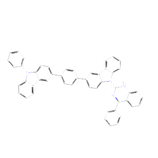 c1ccc(C2=NC(n3c4ccccc4c4cc(-c5ccc(-c6ccc7c(c6)c6ccccc6n7-c6ccccc6)cc5)ccc43)Nc3ccccc32)cc1